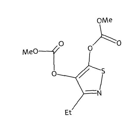 CCc1nsc(OC(=O)OC)c1OC(=O)OC